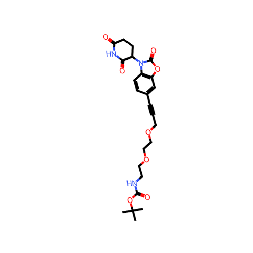 CC(C)(C)OC(=O)NCCOCCOCC#Cc1ccc2c(c1)oc(=O)n2C1CCC(=O)NC1=O